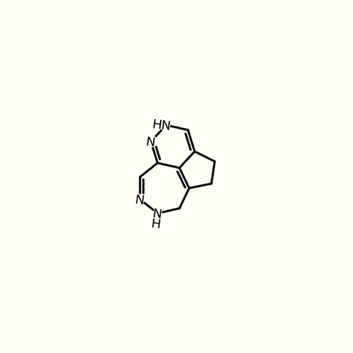 C1=NNCC2=C3C(=CNN=C13)CC2